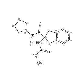 CCN(C(=O)C1(NC(=O)OC(C)(C)C)Cc2ccccc2C1)N1CCCC1